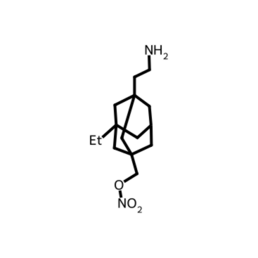 CCC12CC3CC(CCN)(C1)CC(CO[N+](=O)[O-])(C3)C2